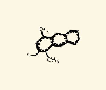 Cc1cc(CF)c(C)c2cc3ccccc3cc12